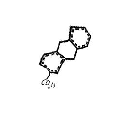 O=C(O)c1ccc2c(c1)Cc1ccccc1C2